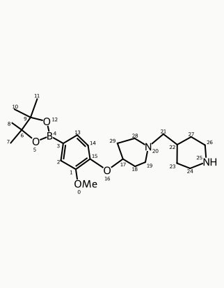 COc1cc(B2OC(C)(C)C(C)(C)O2)ccc1OC1CCN(CC2CCNCC2)CC1